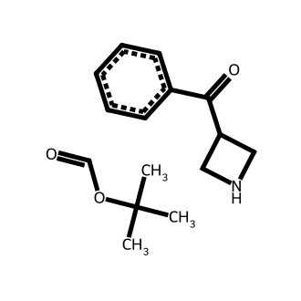 CC(C)(C)OC=O.O=C(c1ccccc1)C1CNC1